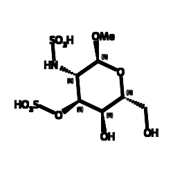 CO[C@H]1O[C@H](CO)[C@@H](O)[C@@H](OS(=O)(=O)O)[C@@H]1NS(=O)(=O)O